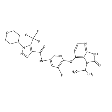 CC(C)n1c(=O)[nH]c2nccc(Oc3ccc(NC(=O)c4cnn(C5CCOCC5)c4C(F)(F)F)cc3F)c21